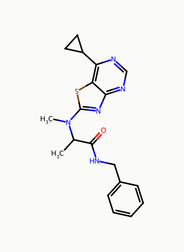 CC(C(=O)NCc1ccccc1)N(C)c1nc2ncnc(C3CC3)c2s1